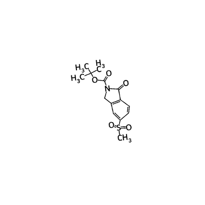 CC(C)(C)OC(=O)N1Cc2cc(S(C)(=O)=O)ccc2C1=O